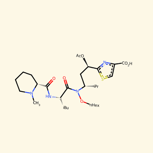 CCCCCCON(C(=O)[C@@H](NC(=O)[C@H]1CCCCN1C)[C@@H](C)CC)[C@H](C[C@@H](OC(C)=O)c1nc(C(=O)O)cs1)C(C)C